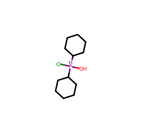 O[PH](Cl)(C1CCCCC1)C1CCCCC1